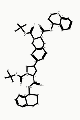 CC(C)(C)OC(=O)N1Cc2cc(C3C[C@@H](C(=O)NC4CCCc5ccccc54)N(C(=O)OC(C)(C)C)C3)ccc2C[C@@H]1C(=O)NC1CCOc2ccccc21